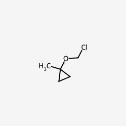 CC1(OCCl)CC1